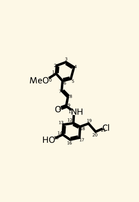 COc1ccccc1/C=C/C(=O)Nc1cc(O)ccc1CCCl